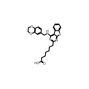 O=C(O)CCCCCCc1nc(NCc2ccc3c(c2)OCCO3)c2c(n1)sc1ccccc12